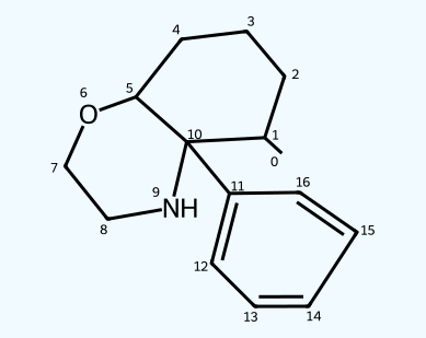 CC1CCCC2OCCNC12c1ccccc1